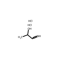 CC(O)C=N.Cl.Cl